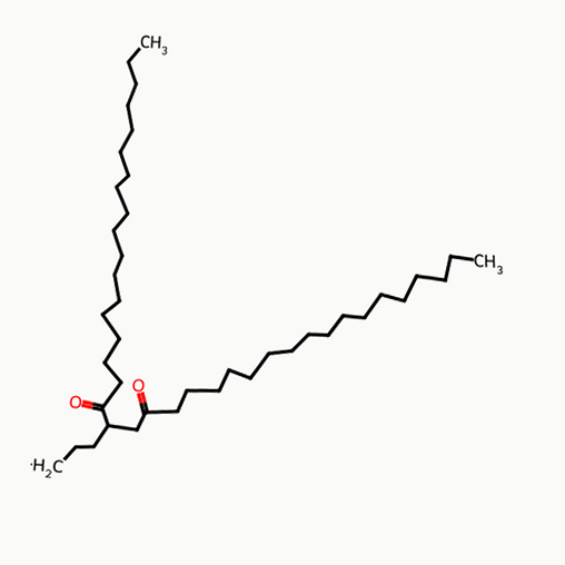 [CH2]CCC(CC(=O)CCCCCCCCCCCCCCCCC)C(=O)CCCCCCCCCCCCCCCCC